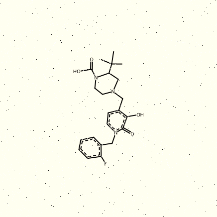 CC(C)(C)C1CN(Cc2ccn(Cc3ccccc3F)c(=O)c2O)CCN1C(=O)O